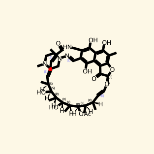 CC(=O)O[C@H]1[C@H](C)[C@H](O)[C@H](C)[C@@H](O)[C@@H](C)/C=C/C=C(/C)C(=O)Nc2c(/C=N/N3CCN(C)CC3)c(O)c3c4c(c(C)c(O)c3c2O)O[C@](C)(O/C=C/[C@H](C)[C@H]1C)C4=O